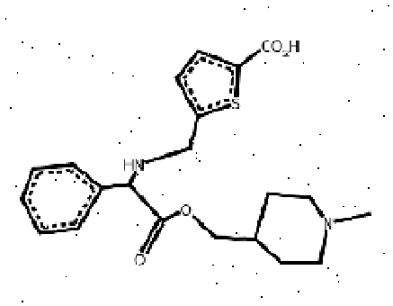 CN1CCC(COC(=O)C(NCc2ccc(C(=O)O)s2)c2ccccc2)CC1